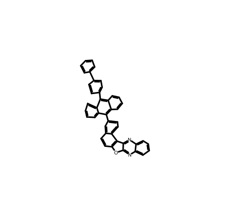 c1ccc(-c2ccc(-c3c4ccccc4c(-c4ccc5c(ccc6oc7nc8ccccc8nc7c65)c4)c4ccccc34)cc2)cc1